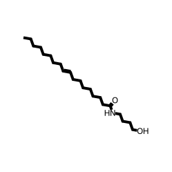 CCCCCCCCC=CCCCCCCCC(=O)NCCCCO